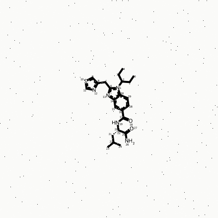 CCC(CC)n1c(Cc2cscn2)nc2cc(C(=O)N[C@@H](CC(C)C)C(N)=O)ccc21